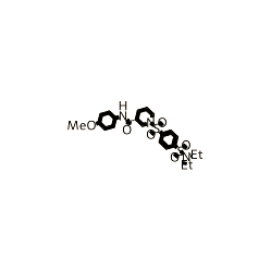 CCN(CC)S(=O)(=O)c1ccc(S(=O)(=O)N2CCC[C@@H](C(=O)NC3CCC(OC)CC3)C2)cc1